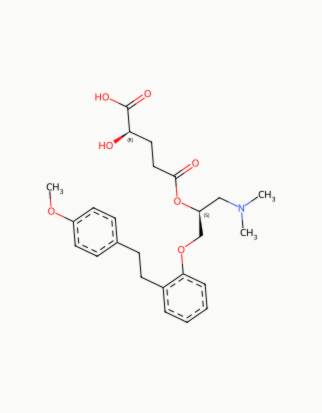 COc1ccc(CCc2ccccc2OC[C@H](CN(C)C)OC(=O)CC[C@@H](O)C(=O)O)cc1